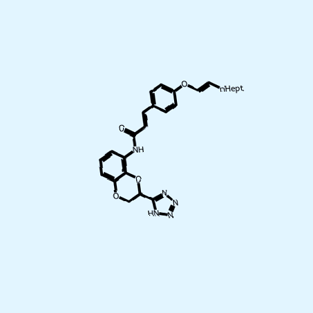 CCCCCCCC=COc1ccc(C=CC(=O)Nc2cccc3c2OC(c2nnn[nH]2)CO3)cc1